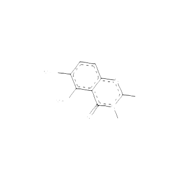 COc1ccc2nc(O)n(C)c(=N)c2c1OC